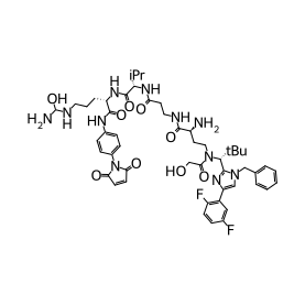 CC(C)[C@H](NC(=O)CCNC(=O)[C@@H](N)CCN(C(=O)CO)[C@@H](c1nc(-c2cc(F)ccc2F)cn1Cc1ccccc1)C(C)(C)C)C(=O)N[C@@H](CCCNC(N)O)C(=O)Nc1ccc(N2C(=O)C=CC2=O)cc1